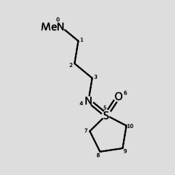 CNCCCN=S1(=O)CCCC1